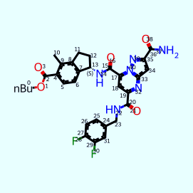 CCCCOC(=O)c1ccc2c(c1C)CC[C@@H]2NC(=O)c1cc(C(=O)NCc2ccc(F)c(F)c2)nc2cc(C(N)=O)nn12